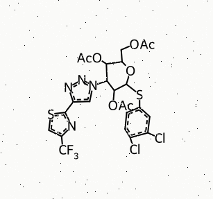 CC(=O)OCC1OC(Sc2ccc(Cl)c(Cl)c2)C(OC(C)=O)C(n2cc(-c3nc(C(F)(F)F)cs3)nn2)C1OC(C)=O